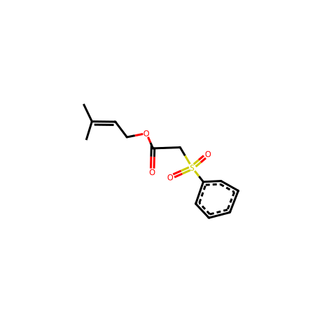 CC(C)=CCOC(=O)CS(=O)(=O)c1ccccc1